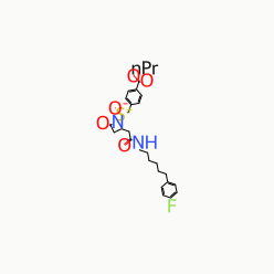 CCCOC(=O)c1ccc(C[S+]([O-])N2C(=O)CC2CC(=O)NCCCCCCc2ccc(F)cc2)cc1